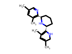 CC1=CC(C)=C([C@H]2CCC[C@@H](c3ncc(C)cc3C)N2)NC1